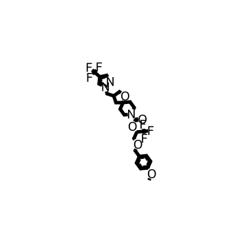 COc1ccc(COCC(OC(=O)N2CCC3(CC2)CC(Cn2cc(C(F)(F)F)cn2)CO3)C(F)(F)F)cc1